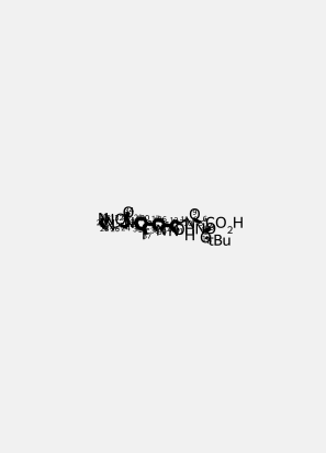 CC(C)(C)OC(=O)N[C@@H](CC(=O)O)C(=O)NC[C@@H]1CC(c2ccc(-c3ccc(N4C[C@H](Cn5ccnn5)OC4=O)cc3F)cn2)=NO1